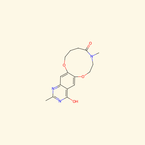 Cc1nc(O)c2cc3c(cc2n1)OCCCC(=O)N(C)CCO3